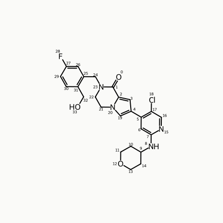 O=C1c2cc(-c3cc(NC4CCOCC4)ncc3Cl)cn2CCN1Cc1cc(F)ccc1CO